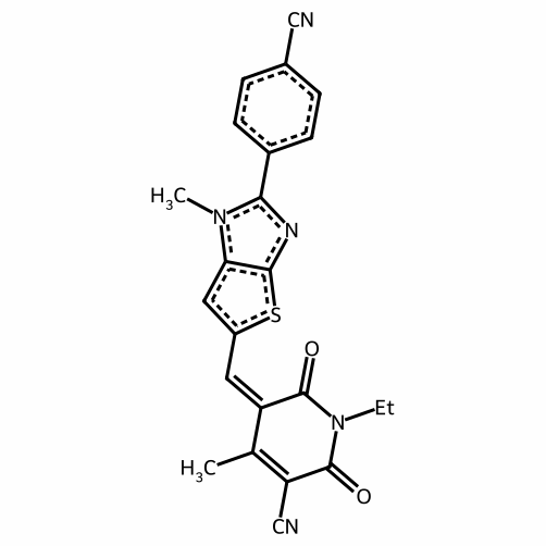 CCN1C(=O)C(C#N)=C(C)/C(=C/c2cc3c(nc(-c4ccc(C#N)cc4)n3C)s2)C1=O